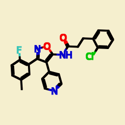 Cc1ccc(F)c(-c2noc(NC(=O)CCc3ccccc3Cl)c2-c2ccncc2)c1